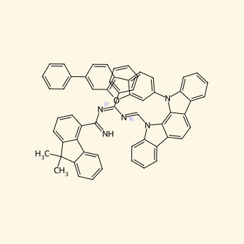 CC1(C)c2ccccc2-c2c(C(=N)/N=C(\N=C\n3c4ccccc4c4ccc5c6ccccc6n(-c6ccc7c(c6)oc6cc(-c8ccccc8)ccc67)c5c43)c3ccccc3)cccc21